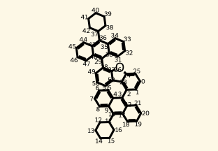 c1cc(-c2c3ccccc3c(C3CCCCC3)c3ccccc23)c2c(c1)oc1c(-c3c4ccccc4c(C4CCCCC4)c4ccccc34)cccc12